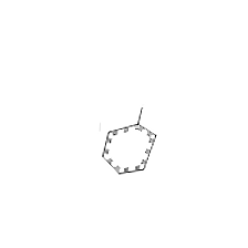 Clc1ccccc1.[Th]